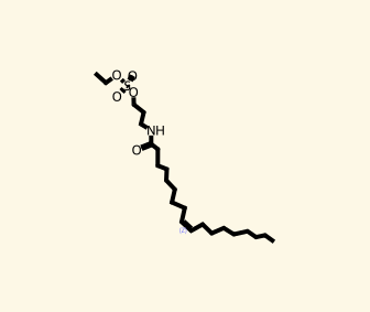 CCCCCCCC/C=C\CCCCCCCC(=O)NCCCOS(=O)(=O)OCC